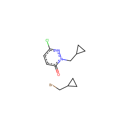 BrCC1CC1.O=c1ccc(Cl)nn1CC1CC1